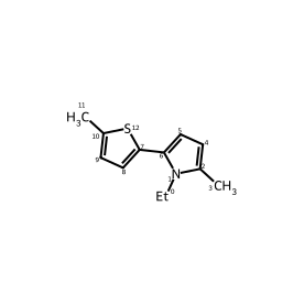 CCn1c(C)ccc1-c1ccc(C)s1